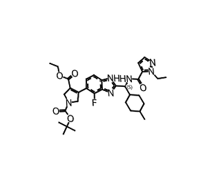 CCOC(=O)C1=C(c2ccc3[nH]c([C@@H](NC(=O)c4ccnn4CC)C4CCC(C)CC4)nc3c2F)CN(C(=O)OC(C)(C)C)C1